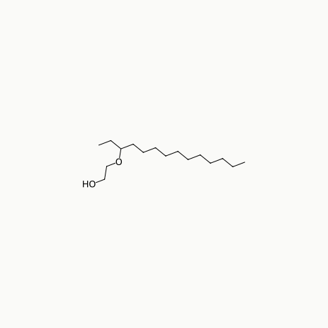 CCCCCCCCCCCC(CC)OCCO